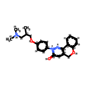 CC(COc1ccc(-n2nc3c(cc2=O)COc2ccccc2-3)cc1)CN(C)C